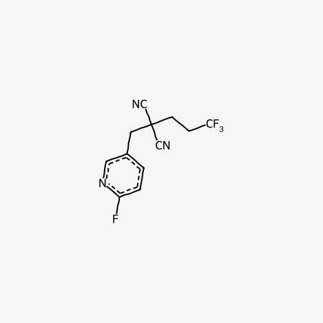 N#CC(C#N)(CCC(F)(F)F)Cc1ccc(F)nc1